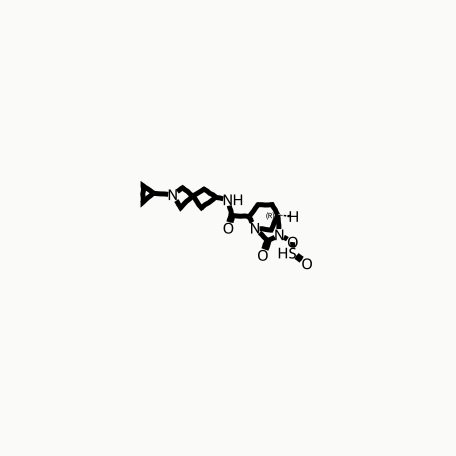 O=[SH]ON1C(=O)N2C[C@H]1CCC2C(=O)NC1CC2(C1)CN(C1CC1)C2